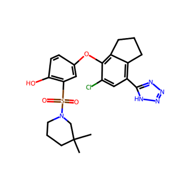 CC1(C)CCCN(S(=O)(=O)c2cc(Oc3c(Cl)cc(-c4nnn[nH]4)c4c3CCC4)ccc2O)C1